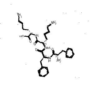 NCCCC[C@H](NC(=O)[C@H](CCCCN)NC(=O)[C@H](Cc1ccccc1)NC(=O)[C@@H](N)Cc1ccccc1)C(=O)O